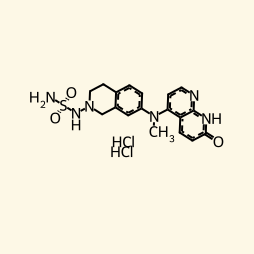 CN(c1ccc2c(c1)CN(NS(N)(=O)=O)CC2)c1ccnc2[nH]c(=O)ccc12.Cl.Cl